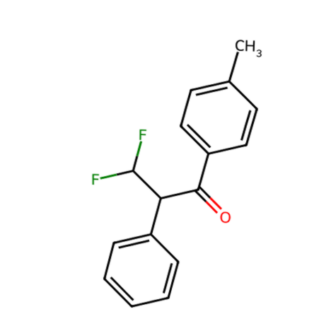 Cc1ccc(C(=O)C(c2ccccc2)C(F)F)cc1